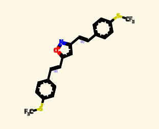 FC(F)(F)Sc1ccc(/C=C/c2cc(/C=C/c3ccc(SC(F)(F)F)cc3)on2)cc1